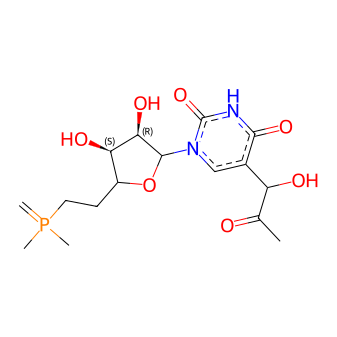 C=P(C)(C)CCC1OC(n2cc(C(O)C(C)=O)c(=O)[nH]c2=O)[C@H](O)[C@@H]1O